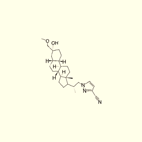 COC[C@@]1(O)CC[C@H]2[C@H](CC[C@@H]3[C@@H]2CC[C@]2(C)C([C@@H](C)Cn4ccc(C#N)n4)CC[C@@H]32)C1